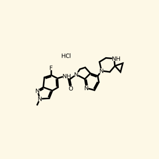 Cl.Cn1cc2cc(NC(=O)N3CCc4c(N5CCNC6(CC6)C5)ccnc43)c(F)cc2n1